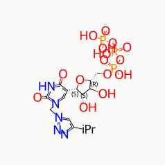 CC(C)c1cn(Cn2cc([C@@H]3O[C@H](COP(=O)(O)OP(=O)(O)OP(=O)(O)O)C(O)[C@@H]3O)c(=O)[nH]c2=O)nn1